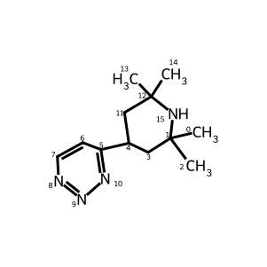 CC1(C)CC(c2ccnnn2)CC(C)(C)N1